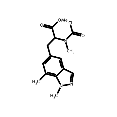 COC(=O)C(Cc1cc(C)c2c(cnn2C)c1)N(C)C(=O)Cl